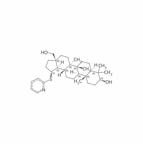 CC1(C)[C@@H](O)CC[C@]2(C)[C@H]3CC[C@@H]4[C@H]5[C@@H](Sc6ccccn6)CC[C@]5(CO)CC[C@@]4(C)[C@]3(C)CC[C@@H]12